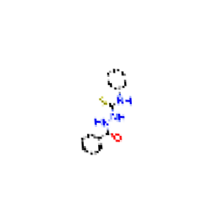 O=C(NNC(=S)Nc1ccccc1)c1ccccc1